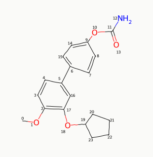 COc1ccc(-c2ccc(OC(N)=O)cc2)cc1OC1CCCC1